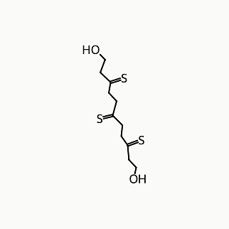 OCCC(=S)CCC(=S)CCC(=S)CCO